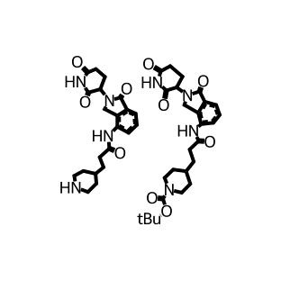 CC(C)(C)OC(=O)N1CCC(CCC(=O)Nc2cccc3c2CN(C2CCC(=O)NC2=O)C3=O)CC1.O=C1CCC(N2Cc3c(NC(=O)CCC4CCNCC4)cccc3C2=O)C(=O)N1